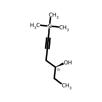 CC[C@H](O)CC#C[Si](C)(C)C